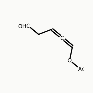 CC(=O)OC=C=CCC=O